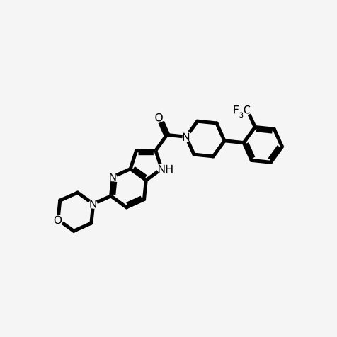 O=C(c1cc2nc(N3CCOCC3)ccc2[nH]1)N1CCC(c2ccccc2C(F)(F)F)CC1